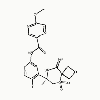 COc1cnc(C(=O)Nc2ccc(F)c([C@]3(C)CS(=O)(=O)C4(COC4)C(=N)N3)c2)cn1